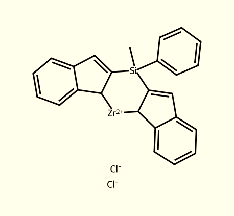 C[Si]1(c2ccccc2)C2=Cc3ccccc3[CH]2[Zr+2][CH]2C1=Cc1ccccc12.[Cl-].[Cl-]